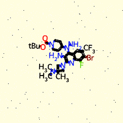 CN(C)C1(C)CN(c2nc3c(F)c(Br)c(C(F)(F)F)cc3c(N(N)C3CCN(C(=O)OC(C)(C)C)CC3)c2N)C1